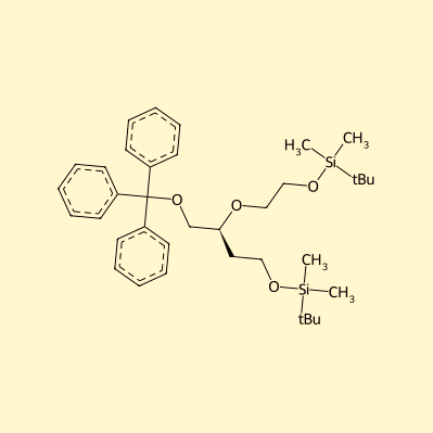 CC(C)(C)[Si](C)(C)OCCO[C@@H](CCO[Si](C)(C)C(C)(C)C)COC(c1ccccc1)(c1ccccc1)c1ccccc1